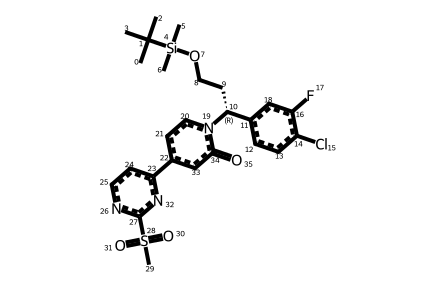 CC(C)(C)[Si](C)(C)OCC[C@H](c1ccc(Cl)c(F)c1)n1ccc(-c2ccnc(S(C)(=O)=O)n2)cc1=O